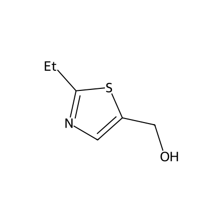 CCc1ncc(CO)s1